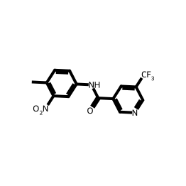 Cc1ccc(NC(=O)c2cncc(C(F)(F)F)c2)cc1[N+](=O)[O-]